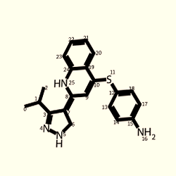 CC(C)C1=NNC/C1=C1\C=C(Sc2ccc(N)cc2)c2ccccc2N1